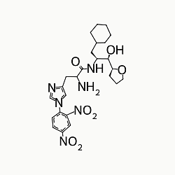 NC(Cc1cn(-c2ccc([N+](=O)[O-])cc2[N+](=O)[O-])cn1)C(=O)N[C@@H](CC1CCCCC1)[C@@H](O)[C@@H]1CCCO1